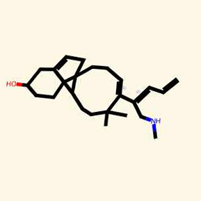 C=C/C=C(CNC)/C1=C/CCC23CC=C4CC(O)CCC42C3CCC1(C)C